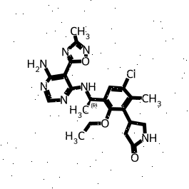 CCOc1c([C@@H](C)Nc2ncnc(N)c2-c2nc(C)no2)cc(Cl)c(C)c1C1CNC(=O)C1